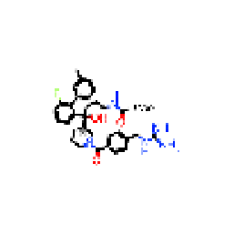 COC(=O)NCCC[C@@](O)(c1cccc(F)c1-c1cccc(C)c1)[C@@H]1CCCN(C(=O)c2ccc(CNC(=N)N)cc2)C1